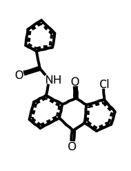 O=C(Nc1cccc2c1C(=O)c1c(Cl)cccc1C2=O)c1ccccc1